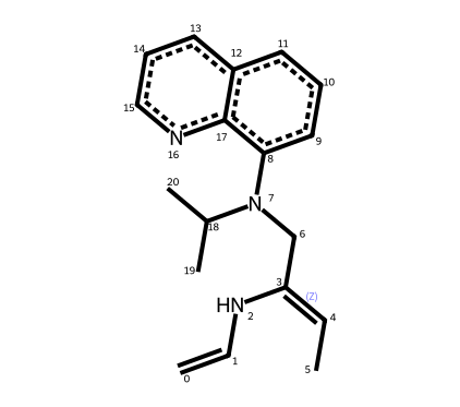 C=CN/C(=C\C)CN(c1cccc2cccnc12)C(C)C